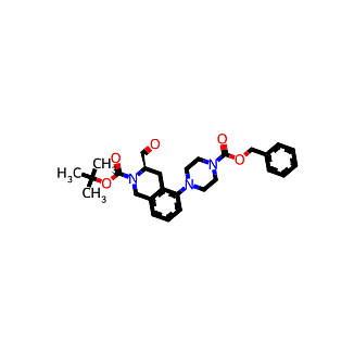 CC(C)(C)OC(=O)N1Cc2cccc(N3CCN(C(=O)OCc4ccccc4)CC3)c2C[C@@H]1C=O